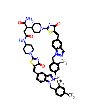 NC(=O)C(CC(=O)NC1CCN(C2=NC(=O)C(=Cc3ccc4c(cnn4Cc4ccc(C(F)(F)F)cc4C(F)(F)F)c3)S2)CC1)C1CCN(C2=NC(=O)C(=Cc3ccc4c(cnn4Cc4ccc(C(F)(F)F)cc4C(F)(F)F)c3)S2)CC1